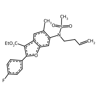 C=CCCN(c1cc2oc(-c3ccc(F)cc3)c(C(=O)OCC)c2cc1C)S(C)(=O)=O